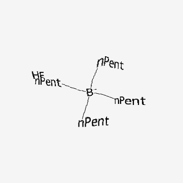 CCCCC[B-](CCCCC)(CCCCC)CCCCC.F